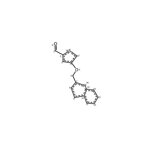 O=Cc1cc(OCc2ccc3ccccc3n2)cs1